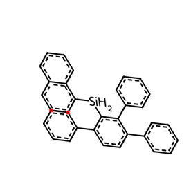 c1ccc(-c2ccc(-c3ccccc3)c(-c3ccccc3)c2[SiH2]c2cccc3ccccc23)cc1